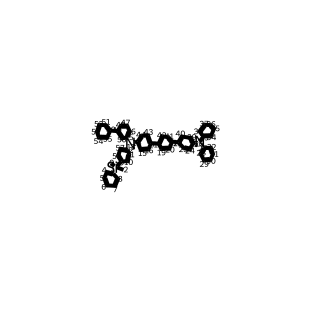 C[Si](C)(c1ccccc1)c1ccc(N(c2ccc(-c3ccc(-c4ccc(N(c5ccccc5)c5ccccc5)cc4)cc3)cc2)c2cccc(-c3ccccc3)c2)cc1